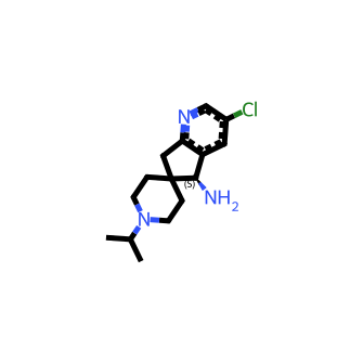 CC(C)N1CCC2(CC1)Cc1ncc(Cl)cc1[C@H]2N